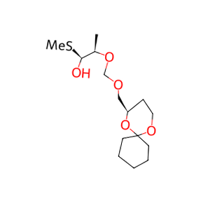 CS[C@H](O)[C@@H](C)OCOC[C@H]1CCOC2(CCCCC2)O1